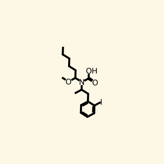 CCCCCC(OC)N(C(=O)O)C(C)Cc1ccccc1I